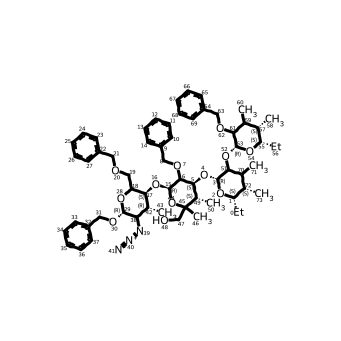 CC[C@@H]1O[C@H](O[C@@H]2C(OCc3ccccc3)[C@H](O[C@@H]3C(COCc4ccccc4)O[C@@H](OCc4ccccc4)C(N=[N+]=[N-])[C@H]3C)OC(C)(CO)[C@H]2C)C(O[C@H]2O[C@@H](CC)[C@@H](C)C(C)C2OCc2ccccc2)C(C)[C@@H]1C